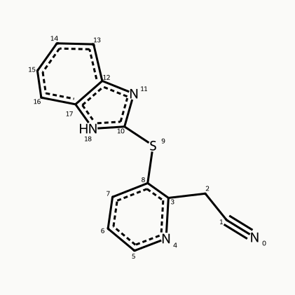 N#CCc1ncccc1Sc1nc2ccccc2[nH]1